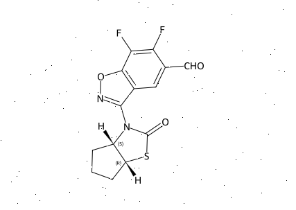 O=Cc1cc2c(N3C(=O)S[C@@H]4CCC[C@@H]43)noc2c(F)c1F